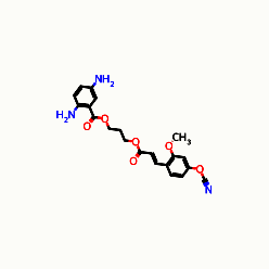 COc1cc(OC#N)ccc1/C=C/C(=O)OCCCOC(=O)c1cc(N)ccc1N